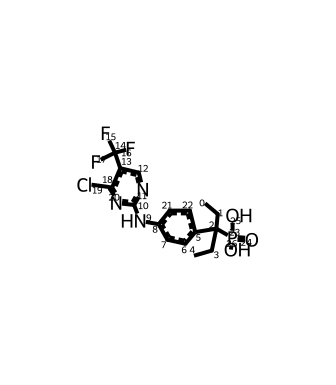 CCC(CC)(c1ccc(Nc2ncc(C(F)(F)F)c(Cl)n2)cc1)P(=O)(O)O